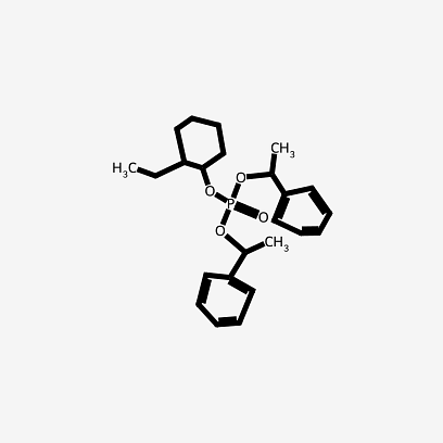 CCC1CCCCC1OP(=O)(OC(C)c1ccccc1)OC(C)c1ccccc1